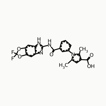 Cc1cc(C(=O)O)c(C)n1-c1cccc(C(=O)Nc2nc3cc4c(cc3[nH]2)OC(F)(F)O4)c1